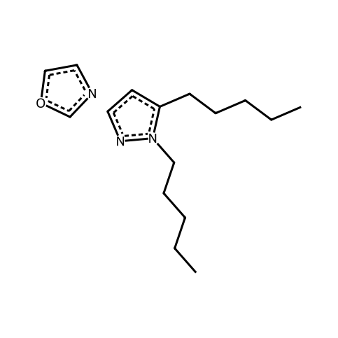 CCCCCc1ccnn1CCCCC.c1cocn1